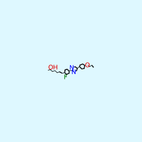 C=CCOc1ccc(-c2cnc(-c3ccc(C=CCCCC(C)O)c(F)c3)nc2)cc1